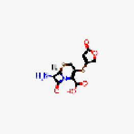 N[C@@H]1C(=O)N2C(C(=O)O)=C(SC3=CC(=O)OC3)CS[C@H]12